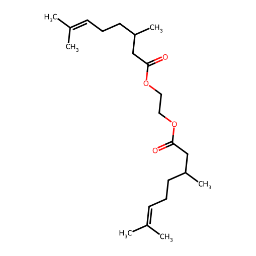 CC(C)=CCCC(C)CC(=O)OCCOC(=O)CC(C)CCC=C(C)C